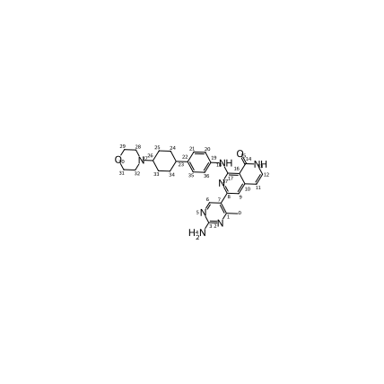 Cc1nc(N)ncc1-c1cc2cc[nH]c(=O)c2c(Nc2ccc(C3CCC(N4CCOCC4)CC3)cc2)n1